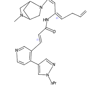 C=CC/C=C(\C=C/N1CC2CC1CN2C)NC(=O)/C=C/c1cnccc1-c1cnn(CCC)c1